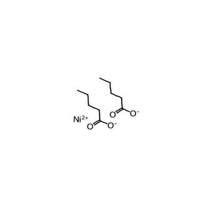 CCCCC(=O)[O-].CCCCC(=O)[O-].[Ni+2]